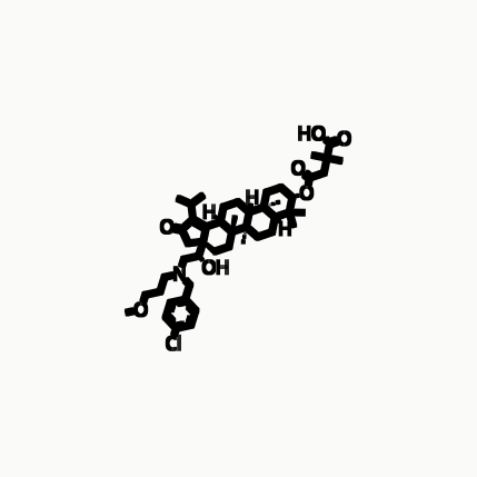 COCCCN(Cc1ccc(Cl)cc1)C[C@@H](O)[C@@]12CC[C@]3(C)[C@H](CC[C@@H]4[C@@]5(C)CC[C@H](OC(=O)CC(C)(C)C(=O)O)C(C)(C)[C@@H]5CC[C@]43C)C1=C(C(C)C)C(=O)C2